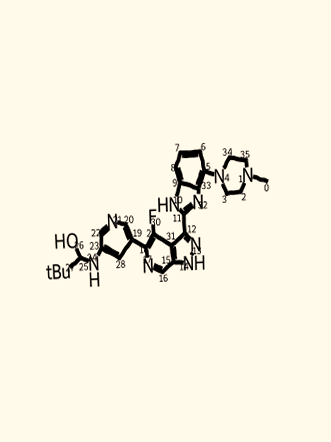 CN1CCN(c2cccc3[nH]c(-c4n[nH]c5cnc(-c6cncc(NC(O)C(C)(C)C)c6)c(F)c45)nc23)CC1